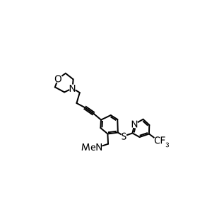 CNCc1cc(C#CCCN2CCOCC2)ccc1Sc1cc(C(F)(F)F)ccn1